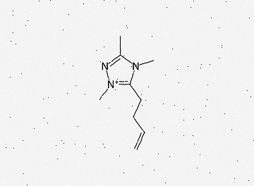 C=CCCc1n(C)c(C)n[n+]1C